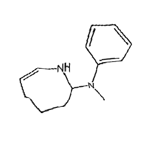 CN(c1ccccc1)C1CCCC=CN1